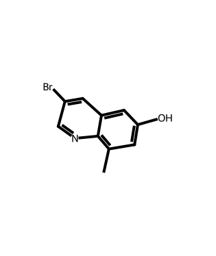 Cc1cc(O)cc2cc(Br)cnc12